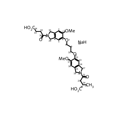 COc1cc2c(cc1OCCCOc1cc3c(cc1OC)CN(C(=O)C[C@H](C)C(=O)O)C3)CN(C(=O)CCC(=O)O)C2.[NaH]